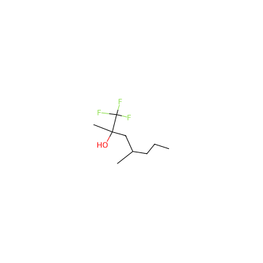 CCCC(C)CC(C)(O)C(F)(F)F